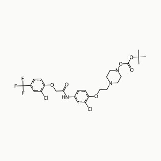 CC(C)(C)OC(=O)ON1CCN(CCOc2ccc(NC(=O)COc3ccc(C(F)(F)F)cc3Cl)cc2Cl)CC1